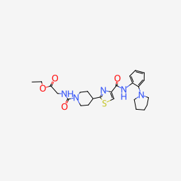 CCOC(=O)CNC(=O)N1CCC(c2nc(C(=O)Nc3ccccc3N3CCCCC3)cs2)CC1